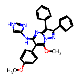 COc1ccc(-c2c(Nc3c[nH]cn3)nc3c(-c4ccccc4)c(-c4ccccc4)nn3c2OC)cc1